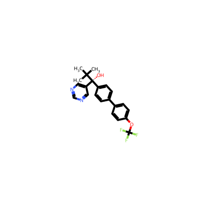 CC(C)(C)[C@@](O)(c1ccc(-c2ccc(OC(F)(F)F)cc2)cc1)c1cncnc1